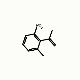 C=C(C)c1c(C)cccc1[N+](=O)[O-]